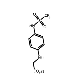 CCOC(=O)CNc1ccc(NS(=O)(=O)C(F)(F)F)cc1